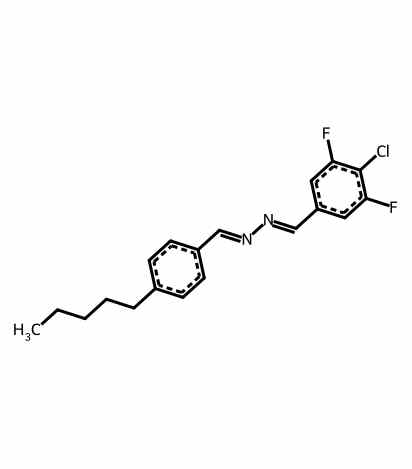 CCCCCc1ccc(/C=N/N=C/c2cc(F)c(Cl)c(F)c2)cc1